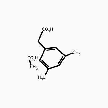 CC(=O)O.Cc1cc(C)cc(CC(=O)O)c1